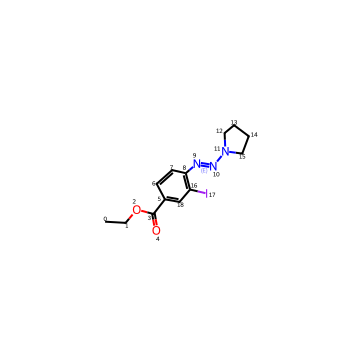 CCOC(=O)c1ccc(/N=N/N2CCCC2)c(I)c1